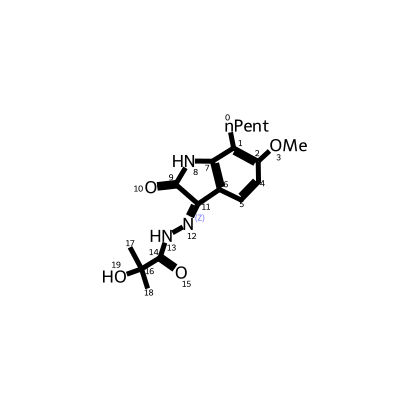 CCCCCc1c(OC)ccc2c1NC(=O)/C2=N\NC(=O)C(C)(C)O